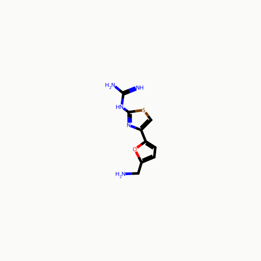 N=C(N)Nc1nc(-c2ccc(CN)o2)cs1